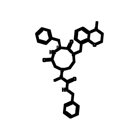 CN1CCOc2c(CN3CCN(N(C)C(=O)NCc4ccccc4)CC(=O)N[C@@H](Cc4ccccc4)C3=O)cccc21